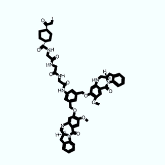 COc1cc2c(cc1OCc1cc(COc3cc4c(cc3OC)C(=O)N3c5ccccc5C[C@H]3CN4)cc(NC(=O)CNC(=O)CNC(=O)CNC(=O)[C@H]3CC[C@H](C(=O)CI)CC3)c1)N=C[C@@H]1Cc3ccccc3N1C2=O